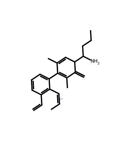 C=Cc1cccc(C2=C(C)C(=C)C(C(N)CCC)C=C2C)c1/C=C\C